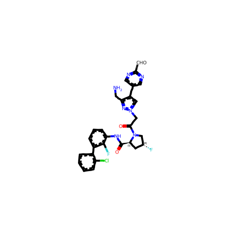 NCc1nn(CC(=O)N2C[C@H](F)C[C@H]2C(=O)Nc2cccc(-c3ccccc3Cl)c2F)cc1-c1cnc(C=O)nc1